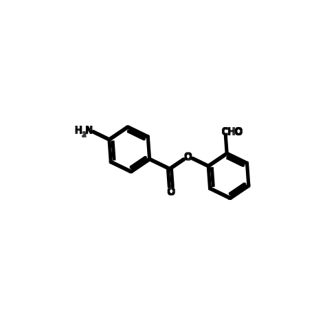 Nc1ccc(C(=O)Oc2ccccc2C=O)cc1